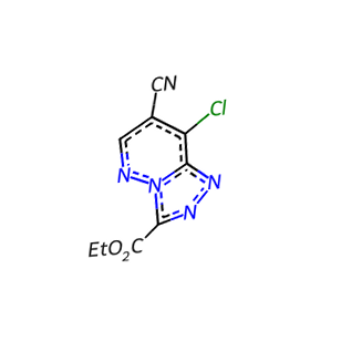 CCOC(=O)c1nnc2c(Cl)c(C#N)cnn12